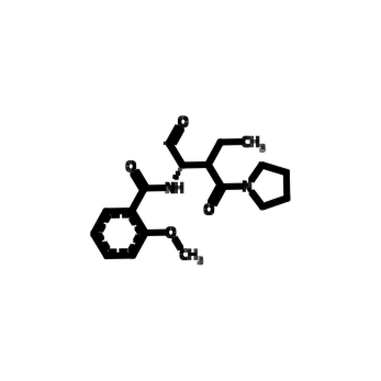 CCC(C(=O)N1CCCC1)[C@@H]([C]=O)NC(=O)c1ccccc1OC